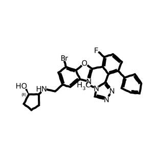 Cn1cnnc1-c1c(-c2ccccc2)ccc(F)c1-c1nc2cc(CNC3CCC[C@H]3O)cc(Br)c2o1